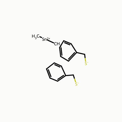 [CH3][Sn+2][CH3].[S-]Cc1ccccc1.[S-]Cc1ccccc1